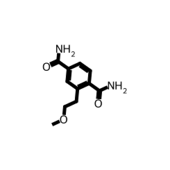 COCCc1cc(C(N)=O)ccc1C(N)=O